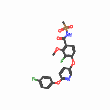 COc1c(C(=O)NS(C)(=O)=O)ccc(Oc2ccc(Oc3ccc(F)cc3)nc2)c1F